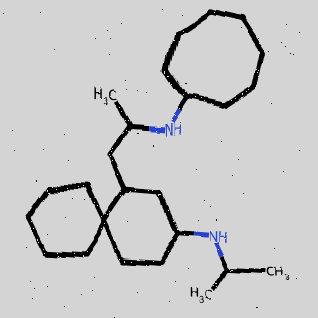 CC(C)NC1CCC2(CCCCC2)C(CC(C)NC2CCCCCCC2)C1